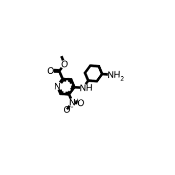 COC(=O)c1cc(NC2CCCC(N)C2)c([N+](=O)[O-])cn1